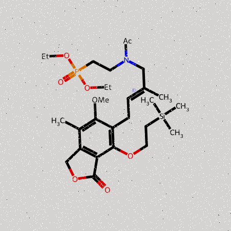 CCOP(=O)(CCN(C/C(C)=C/Cc1c(OC)c(C)c2c(c1OCC[Si](C)(C)C)C(=O)OC2)C(C)=O)OCC